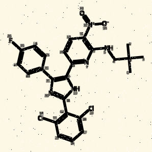 CC(C)(C)CNc1nc(-c2[nH]c(-c3c(Cl)cccc3Cl)nc2-c2ccc(F)cc2)ccc1[N+](=O)[O-]